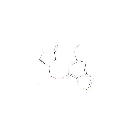 C[C@@H](Oc1nc(NCl)cc2ncsc12)[C@H]1CNC(=O)C1